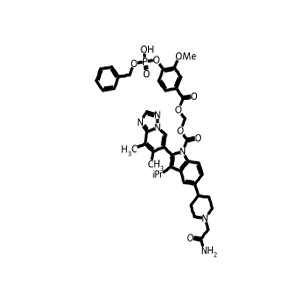 COc1cc(C(=O)OCOC(=O)n2c(-c3cn4ncnc4c(C)c3C)c(C(C)C)c3cc(C4CCN(CC(N)=O)CC4)ccc32)ccc1OP(=O)(O)OCc1ccccc1